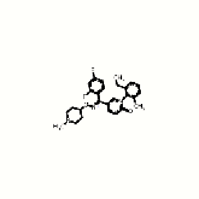 CCc1cccc(C)c1-n1cc(/C(=N/OC2CCN(C)CC2)c2ccc(F)cc2F)ccc1=O